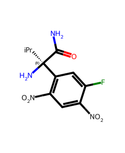 CC(C)[C@](N)(C(N)=O)c1cc(F)c([N+](=O)[O-])cc1[N+](=O)[O-]